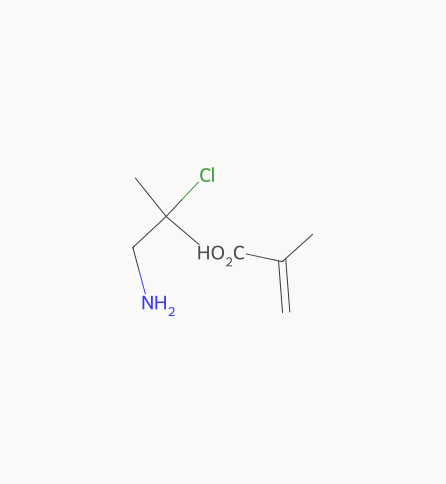 C=C(C)C(=O)O.CC(C)(Cl)CN